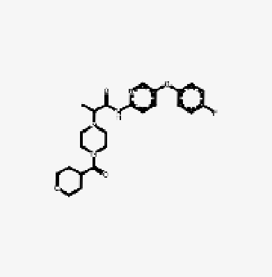 CC(C(=O)Nc1ccc(Oc2ccc(F)cc2)cn1)N1CCN(C(=O)C2CCOCC2)CC1